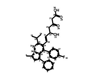 Cc1cc(-c2ccccc2)c2c(-c3ccc(F)cc3)c(/C=C/C(O)CC(=O)CC(=O)O)c(C(C)C)nn12